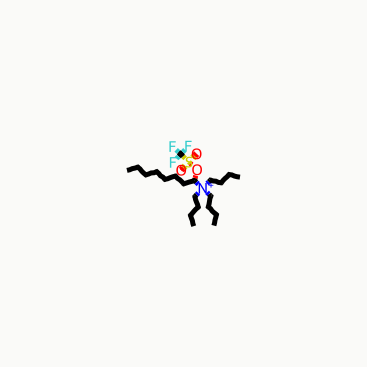 CCCCCCCC(OS(=O)(=O)C(F)(F)F)[N+](CCCC)(CCCC)CCCC